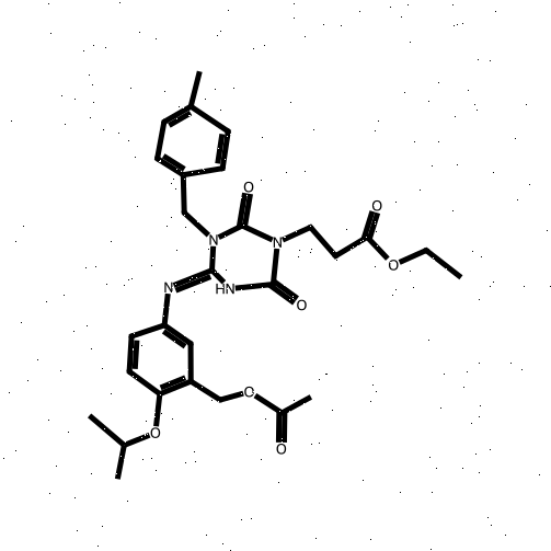 CCOC(=O)CCn1c(=O)[nH]/c(=N\c2ccc(OC(C)C)c(COC(C)=O)c2)n(Cc2ccc(C)cc2)c1=O